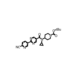 CC(C)(C)OC(=O)N1CCC(N(C(=O)c2cnc(-c3ccc(C#N)nc3)nc2)C2CC2)CC1